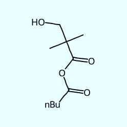 CCCCC(=O)OC(=O)C(C)(C)CO